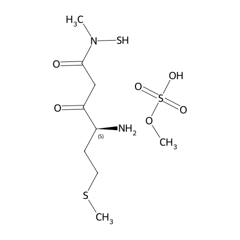 COS(=O)(=O)O.CSCC[C@H](N)C(=O)CC(=O)N(C)S